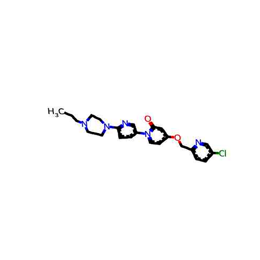 CCCN1CCN(c2ccc(-n3ccc(OCc4ccc(Cl)cn4)cc3=O)cn2)CC1